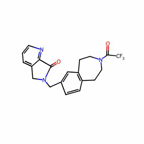 O=C1c2ncccc2CN1Cc1ccc2c(c1)CCN(C(=O)C(F)(F)F)CC2